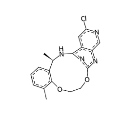 Cc1cccc2c1OCCOc1nc(c3cc(Cl)ncc3n1)N[C@@H]2C